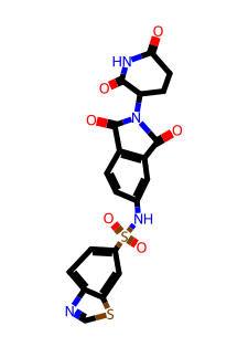 O=C1CCC(N2C(=O)c3ccc(NS(=O)(=O)c4ccc5ncsc5c4)cc3C2=O)C(=O)N1